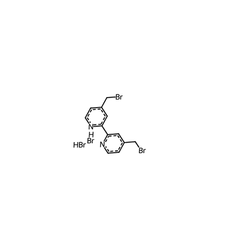 Br.Br.BrCc1ccnc(-c2cc(CBr)ccn2)c1